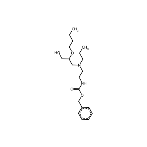 CCCCOC(CO)CN(CCC)CCNC(=O)OCc1ccccc1